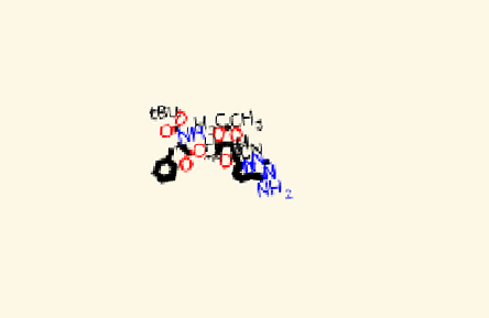 CC(C)(C)OC(=O)N[C@@H](Cc1ccccc1)C(=O)OC[C@H]1O[C@@](C#N)(c2ccc3c(N)ncnn23)[C@@H]2OC(C)(C)O[C@@H]21